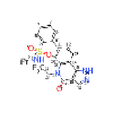 CC(C)NS(=O)(=O)c1ccccc1-c1ccc2c3[nH]ncc3c(=O)n(CC(F)(F)F)c2c1